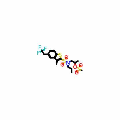 CCCN(CC(C)OS(C)(=O)=O)S(=O)(=O)c1sc2ccc(CC(F)(F)F)cc2c1C